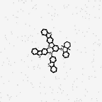 CC12CCCCC1(C)N(c1cc3c4c(c1)N(c1ccc5c(c1)sc1ccccc15)c1cc5sc6ccccc6c5cc1B4c1cc4c(cc1-3)sc1ccccc14)c1ccccc12